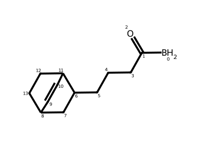 BC(=O)CCCC1CC2C=CC1CC2